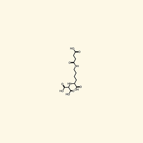 O=C(O)CCC(=O)NCCCCC(NC(C(=O)O)C(=O)O)C(=O)O